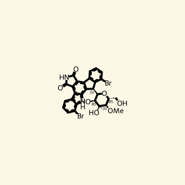 CO[C@H]1[C@H](O)[C@@H](O)C([C@@H]2c3c(Br)cccc3-c3c4c(c5c([nH]c6c(Br)cccc65)c32)C(=O)NC4=O)O[C@@H]1CO